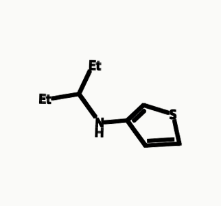 CC[C](CC)Nc1ccsc1